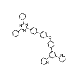 c1ccc(-c2nc(-c3ccccc3)nc(-c3ccc(-c4ccc(Oc5ccc(-c6cc(-c7ccccn7)cc(-c7ccccn7)c6)cc5)cc4)cc3)n2)cc1